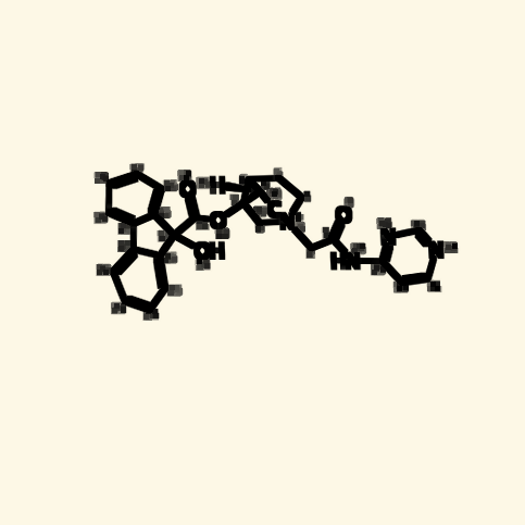 O=C(C[N+]12CCC(CC1)[C@@H](OC(=O)C1(O)c3ccccc3-c3ccccc31)C2)Nc1ccncn1